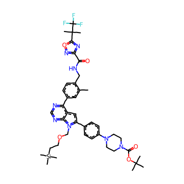 Cc1cc(-c2ncnc3c2cc(-c2ccc(N4CCN(C(=O)OC(C)(C)C)CC4)cc2)n3COCC[Si](C)(C)C)ccc1CNC(=O)c1noc(C(C)(C)C(F)(F)F)n1